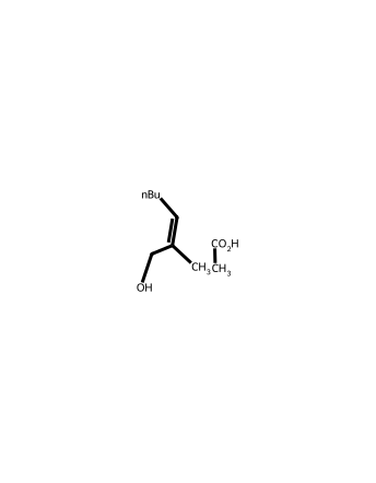 CC(=O)O.CCCCC=C(C)CO